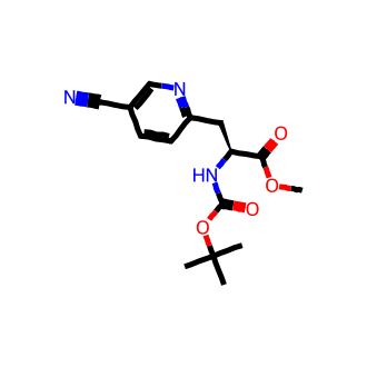 COC(=O)[C@H](Cc1ccc(C#N)cn1)NC(=O)OC(C)(C)C